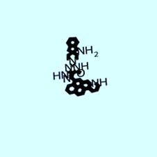 N[C@@H]1c2ccccc2CC12CCN(c1nc3[nH]nc(-c4cc5cc6c(c7ccc8c(c4CCC8)c57)=CC=CN6)c3c(=O)[nH]1)CC2